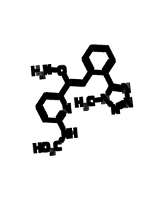 Cn1nnnc1-c1ccccc1C=C(ON)c1cccc(NC(=O)O)n1